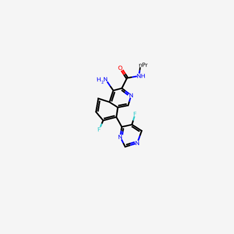 CCCNC(=O)c1ncc2c(-c3ncncc3F)c(F)ccc2c1N